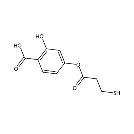 O=C(CCS)Oc1ccc(C(=O)O)c(O)c1